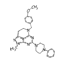 COc1ccc(CN2CCc3nn(C)c4nc(N5CCN(c6ccccc6)CC5)nc2c34)cc1